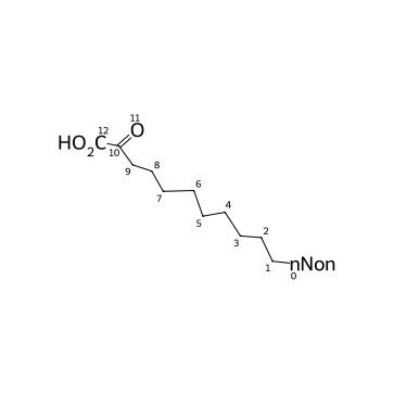 CCCCCCCCCCCCCCCCCCC(=O)C(=O)O